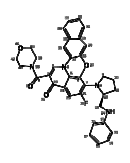 O=C(c1cn2c3c(c(N4CCC[C@H]4CNc4ccccc4)c(F)cc3c1=O)Oc1cc3ccccc3cc1-2)N1CCOCC1